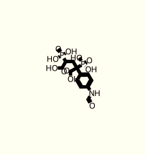 O=CNc1ccc(C(CC(C(=O)O)P(=O)(O)O)(C(=O)O)P(=O)(O)O)cc1